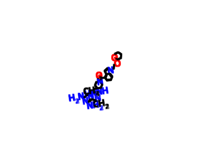 C=C(/N=C1\NCC2(CCN(C(=O)c3cccc4c3ccn4CCOC3CCCCO3)CC2)N1)c1nc(C)c(N)nc1N